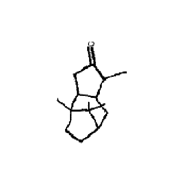 CC1C(=O)CC2C1CC1CCC2(C)C1(C)C